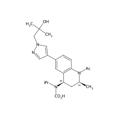 CC(=O)N1c2ccc(-c3cnn(CC(C)(C)O)c3)cc2[C@H](N(C(=O)O)C(C)C)C[C@@H]1C